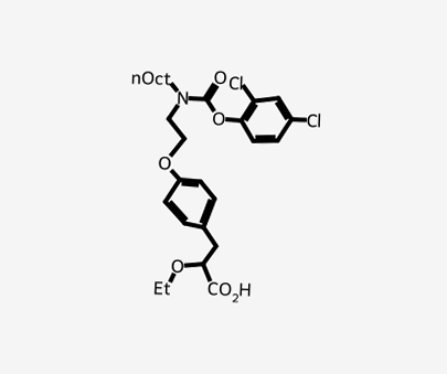 CCCCCCCCN(CCOc1ccc(CC(OCC)C(=O)O)cc1)C(=O)Oc1ccc(Cl)cc1Cl